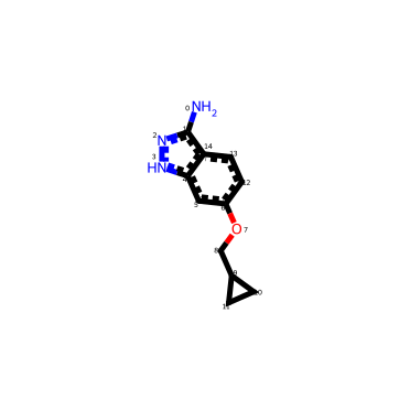 Nc1n[nH]c2cc(OCC3CC3)ccc12